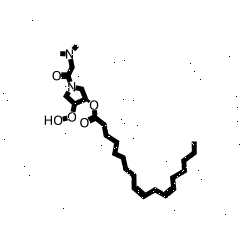 CCCCC/C=C\C/C=C\CCCCCCCC(=O)O[C@@H]1CN(C(=O)CN(C)C)CC1OO